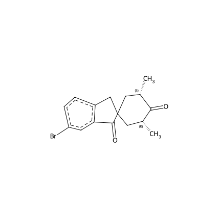 C[C@@H]1CC2(Cc3ccc(Br)cc3C2=O)C[C@H](C)C1=O